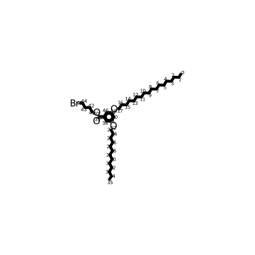 CCCCCCCCCCCCCCCCCCOc1cc(OCCCCCCCCCCCCC)cc(C(=O)OCCCCBr)c1